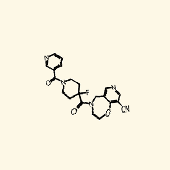 N#Cc1cncc2c1OCCN(C(=O)C1(F)CCN(C(=O)c3cccnc3)CC1)C2